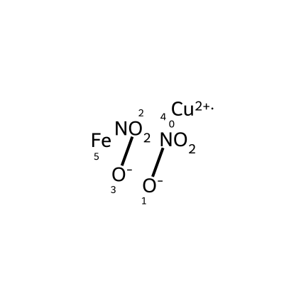 O=[N+]([O-])[O-].O=[N+]([O-])[O-].[Cu+2].[Fe]